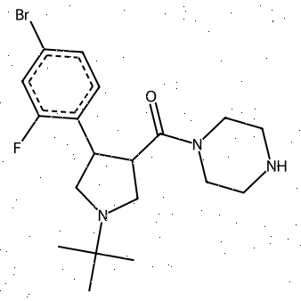 CC(C)(C)N1CC(C(=O)N2CCNCC2)C(c2ccc(Br)cc2F)C1